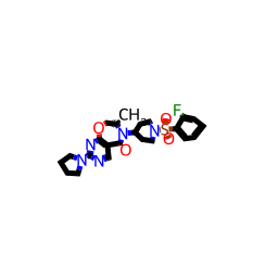 C[C@@H]1COc2nc(N3CCCC3)ncc2C(=O)N1C1CCN(S(=O)(=O)c2ccccc2F)CC1